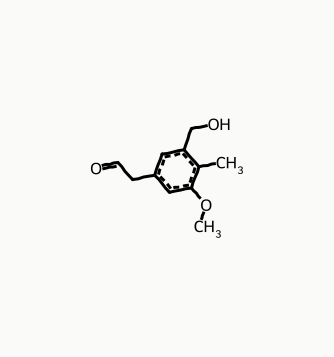 COc1cc(CC=O)cc(CO)c1C